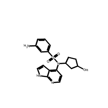 Nc1cccc(S(=O)(=O)N(c2ccnc3[nH]ccc23)C2CCC(O)C2)c1